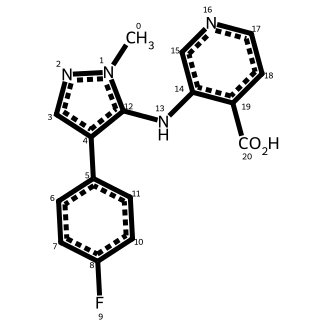 Cn1ncc(-c2ccc(F)cc2)c1Nc1cnccc1C(=O)O